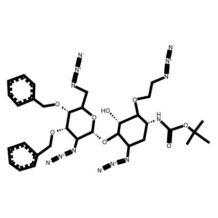 CC(C)(C)OC(=O)N[C@@H]1CC(N=[N+]=[N-])C(O[C@H]2OC(CN=[N+]=[N-])[C@@H](OCc3ccccc3)[C@@H](OCc3ccccc3)C2N=[N+]=[N-])[C@H](O)C1OCCN=[N+]=[N-]